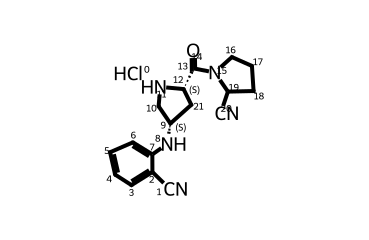 Cl.N#Cc1ccccc1N[C@@H]1CN[C@H](C(=O)N2CCCC2C#N)C1